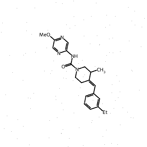 CCc1cccc(/C=C2\CCN(C(=O)Nc3cnc(OC)cn3)CC2C)c1